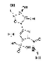 N=CNC(=O)c1nc(C2O[C@H](CO)[C@@H](O)[C@H]2O)c(N)n1P(=O)(O)O